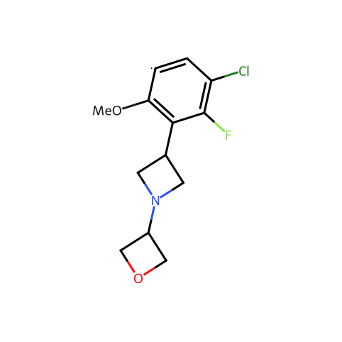 COc1[c]cc(Cl)c(F)c1C1CN(C2COC2)C1